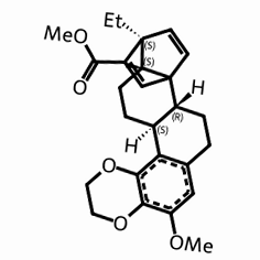 CC[C@@]12C=CC3(C=C1C(=O)OC)[C@@H]1CCc4cc(OC)c5c(c4[C@H]1CC[C@@]32C)OCCO5